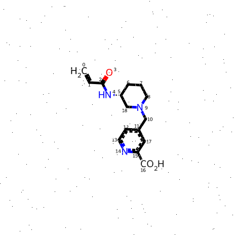 C=CC(=O)N[C@@H]1CCCN(Cc2ccnc(C(=O)O)c2)C1